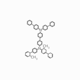 CC1CC(C2C=CC=CC2)=CC=C1N(c1ccc(-c2ccc(N(c3ccc(-c4ccccc4)cc3)c3ccc(-c4ccccc4)cc3)cc2)cc1)c1ccc(C2C=CC=CC2C)cc1